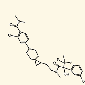 COc1cccc(C(O)(C(=O)N(C)CC[C@H]2CC23CCN(c2ccc(C(=O)N(C)C)c(Cl)c2)CC3)C(F)(F)F)c1